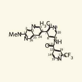 CNc1cc2ncc(-c3cc(NC(=O)c4ccnc(C(F)(F)F)c4)cnc3C)cc2cn1